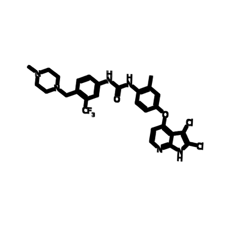 Cc1cc(Oc2ccnc3[nH]c(Cl)c(Cl)c23)ccc1NC(=O)Nc1ccc(CN2CCN(C)CC2)c(C(F)(F)F)c1